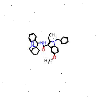 CCc1c(C(=O)NC(c2ccccc2)C23CCCC(CN2)C3)c2cc(OC)ccc2n1Cc1ccccc1